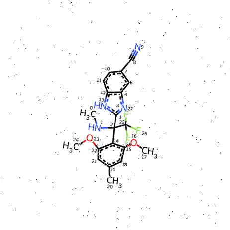 CNC(c1nc2cc(C#N)ccc2[nH]1)(c1c(OC)cc(C)cc1OC)C(F)(F)F